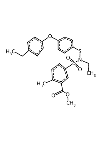 CCc1ccc(Oc2ccc(SN(CC)S(=O)(=O)c3ccc(C)c(C(=O)OC)c3)cc2)cc1